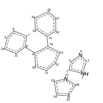 c1c[nH]cn1.c1ccc(-c2ccccc2-c2ccccc2)cc1.c1cscn1